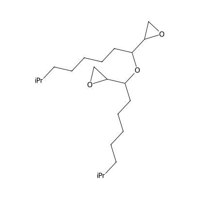 CC(C)CCCCCC(OC(CCCCCC(C)C)C1CO1)C1CO1